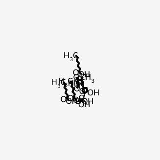 CCCCCCC(=O)O.CCCCCCC(=O)O.CCCCCCC(=O)O.Cc1cn([C@H]2C[C@H](O)[C@@H](COP(=O)(O)O)O2)c(=O)[nH]c1=O